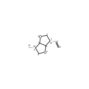 C=C[C@H]1COC2C1OC[C@@H]2C